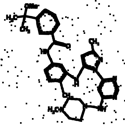 COC(C)(C)c1cccc(C(=O)Nc2ccc(C)c(Nc3cc(C)nn3-c3cc(NN4CCN(C)CC4)ncn3)c2)c1